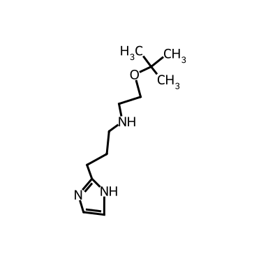 CC(C)(C)OCCNCCCc1ncc[nH]1